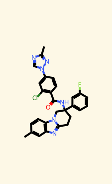 Cc1ccc2c(c1)nc1n2CC(NC(=O)c2ccc(-n3cnc(C)n3)cc2Cl)(c2cccc(F)c2)CC1